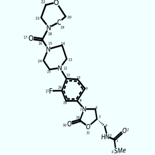 CSC(=O)NC[C@H]1CN(c2ccc(N3CCN(C(=O)N4CCOCC4)CC3)c(F)c2)C(=O)O1